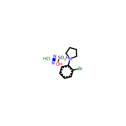 Brc1ccccc1N1CCCC1.Cl.N#N.O=S(=O)(O)O